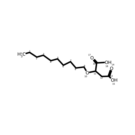 CCCCCCCCCCOC(CC(=O)O)C(=O)O